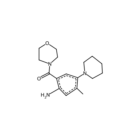 Cc1cc(N)c(C(=O)N2CCOCC2)cc1N1CCCCC1